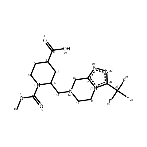 COC(=O)N1CCC(C(=O)O)CC1CN1CCn2c(nnc2C(F)(F)F)C1